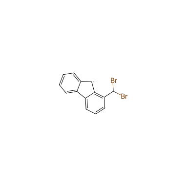 BrC(Br)c1cccc2c1[CH]c1ccccc1-2